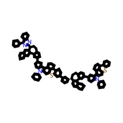 c1ccc(-c2nc(C3CCc4ccc(-c5ccc6c(c5)c5c7cccc8c7c(cc5n6-c5ccccc5)Sc5cc(-c6cccc([C@@H]7CCc9ccc(-c%10ccc%11c(c%10)c%10c%12cccc%13c%12c(cc%10n%11-c%10ccccc%10)Sc%10ccccc%10-%13)cc9-c9c7ccc7ccccc97)c6)ccc5-8)cc4-c4cc5ccccc5cc43)nc3ccccc23)cc1